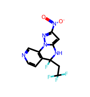 O=[N+]([O-])c1cc2n(n1)-c1cnccc1C(F)(CC(F)(F)F)N2